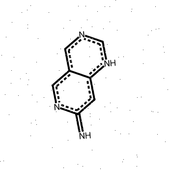 N=c1cc2[nH]cncc-2cn1